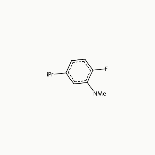 CNc1cc(C(C)C)ccc1F